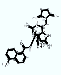 Cc1cccc2c(C(=O)NC3CN4C(=N)N[C@@H](CN5C(=O)CCC5=O)C5NC(=N)NC54C3(O)O)cccc12